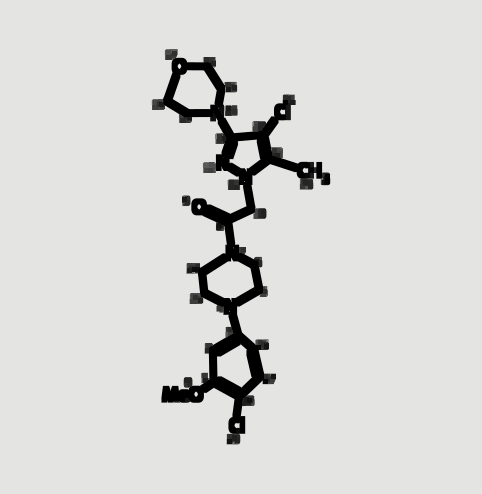 COc1cc(N2CCN(C(=O)Cn3nc(N4CCOCC4)c(Cl)c3C)CC2)ccc1Cl